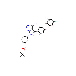 CC(C)(C)OC(=O)NC1CCCC(n2nc(-c3ccc(Oc4c(F)c(F)cc(F)c4F)cc3F)c3c(N)ncnc32)C1